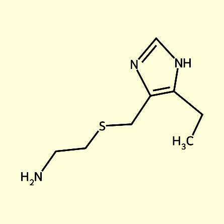 CCc1[nH]cnc1CSCCN